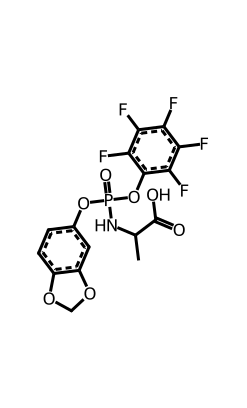 CC(NP(=O)(Oc1ccc2c(c1)OCO2)Oc1c(F)c(F)c(F)c(F)c1F)C(=O)O